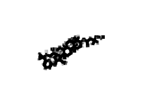 CC(C)C1=C2[C@H]3CC[C@@H]4[C@@]5(C)CC[C@H](OC(=O)CC(C)(C)C(=O)O)C(C)(C)[C@@H]5CC[C@@]4(C)[C@]3(C)CC[C@@]2([C@@H](O)CNC2(c3ccccn3)CC2)CC1=O